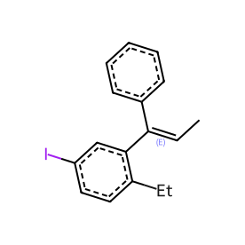 C/C=C(\c1ccccc1)c1cc(I)ccc1CC